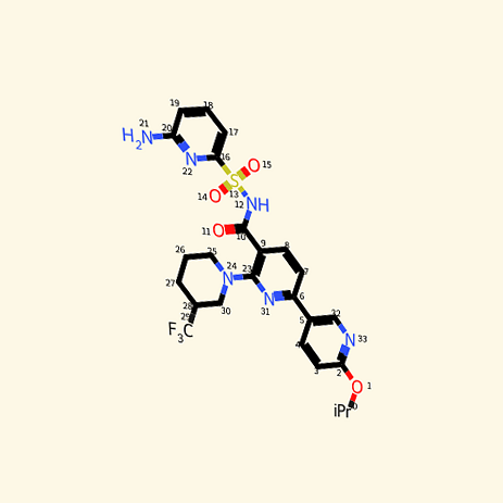 CC(C)Oc1ccc(-c2ccc(C(=O)NS(=O)(=O)c3cccc(N)n3)c(N3CCCC(C(F)(F)F)C3)n2)cn1